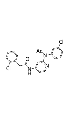 CC(=O)N(c1cccc(Cl)c1)c1cc(NC(=O)Cc2ccccc2Cl)ccn1